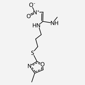 CN/C(=C/[N+](=O)[O-])NCCCSc1nc(C)co1